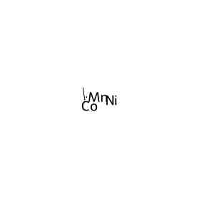 [CH3][Co].[Mn].[Ni]